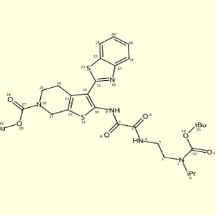 CC(C)N(CCNC(=O)C(=O)Nc1sc2c(c1-c1nc3ccccc3s1)CCN(C(=O)OC(C)(C)C)C2)C(=O)OC(C)(C)C